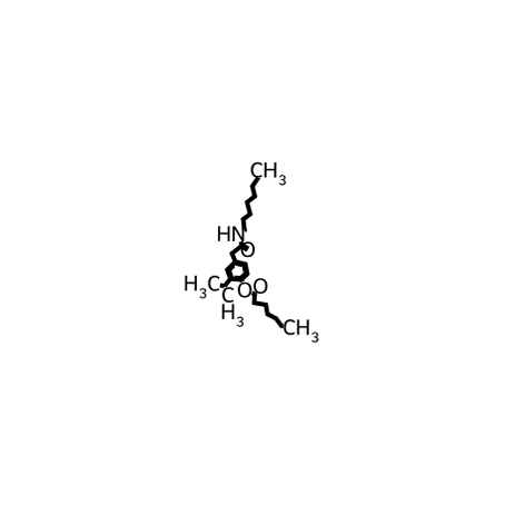 CCCCCCCCNC(=O)Cc1ccc(OC(=O)CCCCCC)c(C(C)C)c1